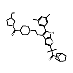 Cc1cc(C)cc(-c2[nH]c3sc(C(C)(C)C(=O)N4C5CCC4CC5)cc3c2CCN2CCC(C(=O)N3CCC(O)C3)CC2)c1